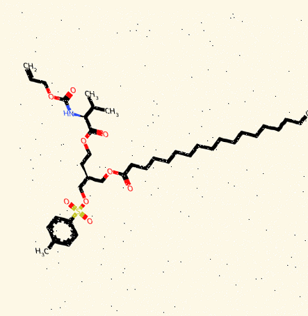 C=CCOC(=O)N[C@H](C(=O)OCC[C@@H](COC(=O)CCCCCCCCCCCCCCCCC)COS(=O)(=O)c1ccc(C)cc1)C(C)C